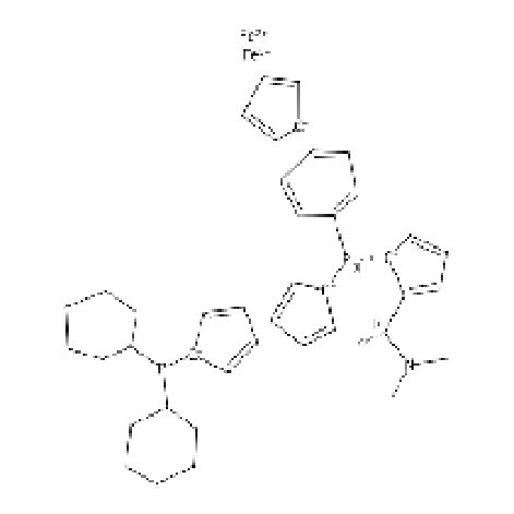 C[C@H](c1ccc[c-]1[P@@](c1ccccc1)[c-]1cccc1)N(C)C.[Fe+2].[Fe+2].c1cc[c-](P(C2CCCCC2)C2CCCCC2)c1.c1cc[cH-]c1